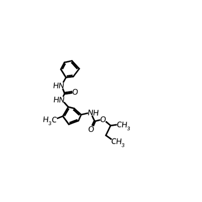 CCC(C)OC(=O)Nc1ccc(C)c(NC(=O)Nc2ccccc2)c1